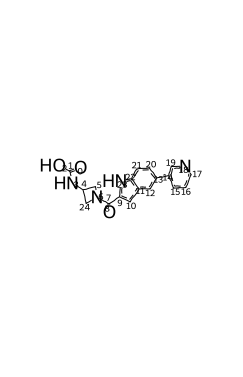 O=C(O)NC1CN(C(=O)c2cc3cc(-c4cccnc4)ccc3[nH]2)C1